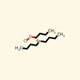 CCCCOCl.CCC[CH2][Sn][CH2]CCC